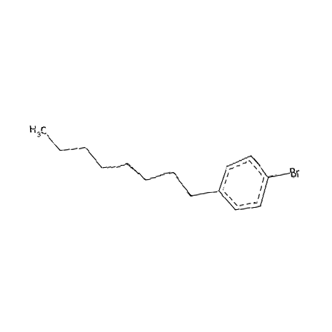 CCCCCCCCc1ccc(Br)cc1